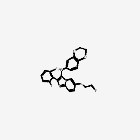 FCCOc1ccc2nc(-c3c(F)cccc3I)c(Nc3ccc4c(c3)OCCO4)n2c1